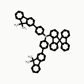 CC1(C)c2ccccc2-c2ccc(-c3ccc(N(c4ccc(-c5ccc6c(c5)C(C)(C)c5ccccc5-6)cc4)c4cccc5c4-c4ccccc4C54c5ccccc5-c5ccccc54)cc3)cc21